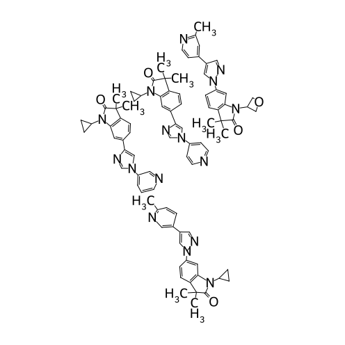 CC1(C)C(=O)N(C2CC2)c2cc(-c3cn(-c4cccnc4)cn3)ccc21.CC1(C)C(=O)N(C2CC2)c2cc(-c3cn(-c4ccncc4)cn3)ccc21.Cc1cc(-c2cnn(-c3ccc4c(c3)N(C3COC3)C(=O)C4(C)C)c2)ccn1.Cc1ccc(-c2cnn(-c3ccc4c(c3)N(C3CC3)C(=O)C4(C)C)c2)cn1